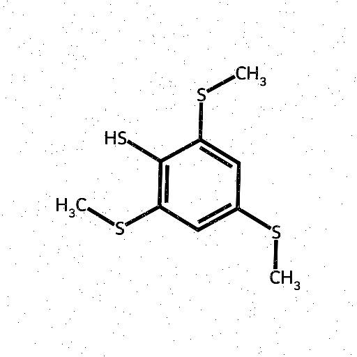 CSc1cc(SC)c(S)c(SC)c1